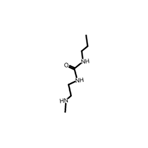 CCCNC(=O)NCCNC